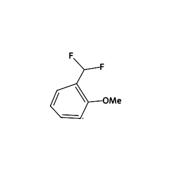 COc1[c]cccc1C(F)F